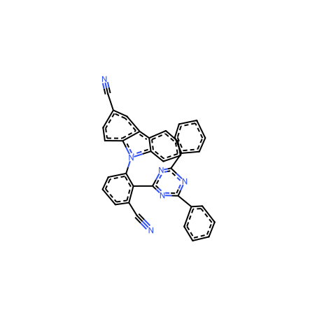 N#Cc1ccc2c(c1)c1ccccc1n2-c1cccc(C#N)c1-c1nc(-c2ccccc2)nc(-c2ccccc2)n1